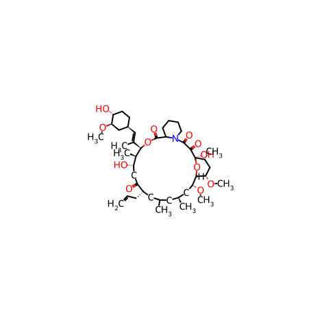 C=CC[C@H]1CC(C)C[C@H](C)C[C@@H](OC)[C@H]2O[C@@](O)(C(=O)C(=O)N3CCCCC3C(=O)O[C@H](/C(C)=C/[C@@H]3CC[C@@H](O)[C@H](OC)C3)[C@H](C)[C@@H](O)CC1=O)[C@H](C)C[C@@H]2OC